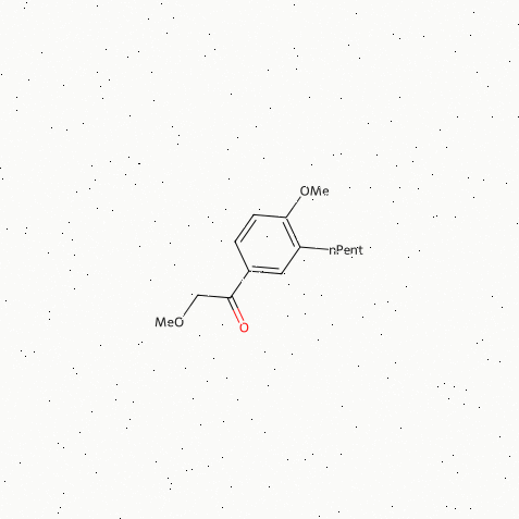 CCCCCc1cc(C(=O)COC)ccc1OC